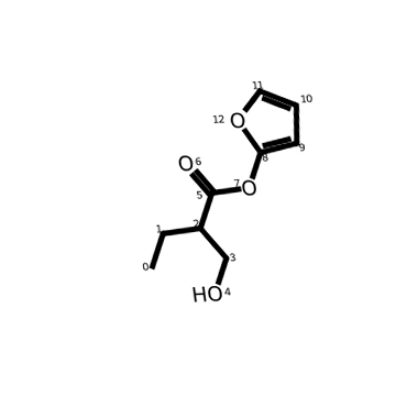 CCC(CO)C(=O)Oc1ccco1